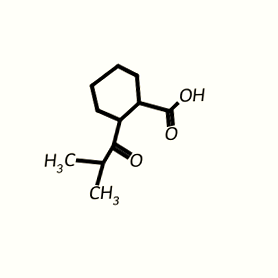 CC(C)C(=O)C1CCCCC1C(=O)O